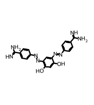 N=C(N)c1ccc(N=Nc2cc(N=Nc3ccc(C(=N)N)cc3)c(O)cc2O)cc1